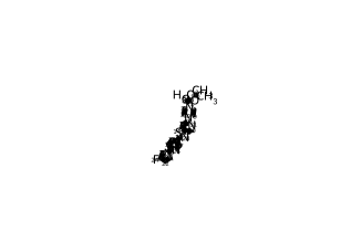 CC(C)(C)OC(=O)N1CCN(c2cc3sc(-c4ccc(N5CC[C@@H](F)C5)nc4)nc3cn2)CC1